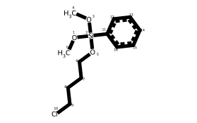 CO[Si](OC)(OCCCCCl)c1ccccc1